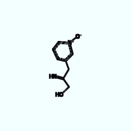 N=C(CO)Cc1ccc[n+]([O-])c1